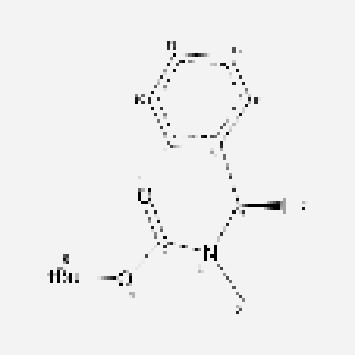 CN(C(=O)OC(C)(C)C)[C@H](I)c1ccccc1